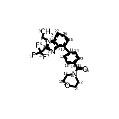 CCn1c(C(F)(F)F)nc2c(-c3ccc(C(=O)N4CCOCC4)cc3)cccc21